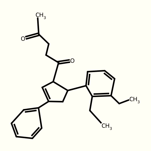 CCc1cccc(C2CC(c3ccccc3)=CC2C(=O)CCC(C)=O)c1CC